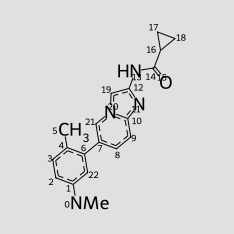 CNc1ccc(C)c(-c2ccc3nc(NC(=O)C4CC4)cn3c2)c1